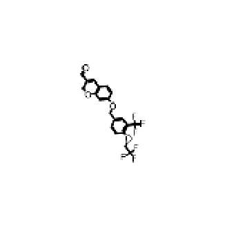 O=CC1=Cc2ccc(OCc3ccc(OCC(F)(F)F)c(C(F)(F)F)c3)cc2OC1